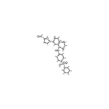 O=Cc1ccc(-c2cc3c(Nc4ccc(S(=O)(=O)c5ccccc5)cc4)ncnc3cn2)o1